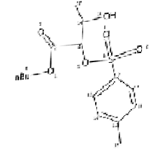 CCCCOC(=O)C(OS(=O)(=O)c1ccc(C)cc1)C(C)O